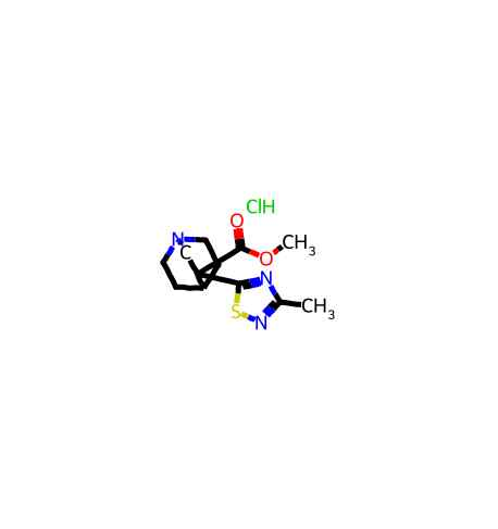 COC(=O)C1(c2nc(C)ns2)CN2CCC1CC2.Cl